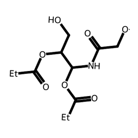 CCC(=O)OC(CO)C(NC(=O)C[O])OC(=O)CC